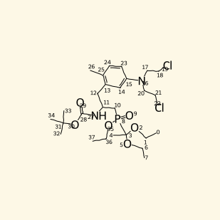 CCOC(C)(OCC)P(=O)(CC(Cc1cc(N(CCCl)CCCl)ccc1C)NC(=O)OC(C)(C)C)OCC